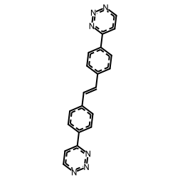 C(=C\c1ccc(-c2ccnnn2)cc1)/c1ccc(-c2ccnnn2)cc1